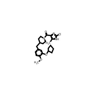 COc1ccc(CC2CCN(C(=O)c3nc(Cl)[nH]c3C)CC2)cc1OC1CCCC1